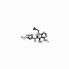 Cc1cc(NC(=O)C(=N)c2c(N)ncnc2NCC2CC2)n[nH]1